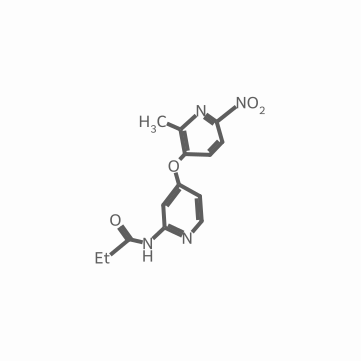 CCC(=O)Nc1cc(Oc2ccc([N+](=O)[O-])nc2C)ccn1